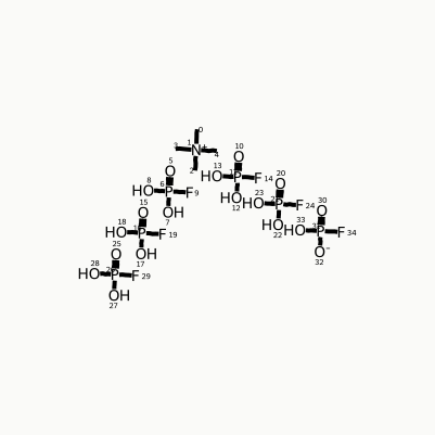 C[N+](C)(C)C.O=P(O)(O)F.O=P(O)(O)F.O=P(O)(O)F.O=P(O)(O)F.O=P(O)(O)F.O=P([O-])(O)F